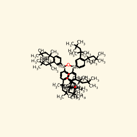 CC(C)(C)CC(C)(C)c1ccc([SiH](O[SiH](c2ccc(C(C)(C)CC(C)(C)C)c(C(C)(C)CC(C)(C)C)c2)c2ccc(C(C)(C)CC(C)(C)C)c(C(C)(C)CC(C)(C)C)c2)c2ccc(C(C)(C)CC(C)(C)C)c(C(C)(C)CC(C)(C)C)c2)cc1C(C)(C)CC(C)(C)C